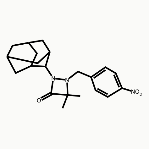 CC1(C)C(=O)N(C2C3CC4CC(C3)CC2C4)N1Cc1ccc([N+](=O)[O-])cc1